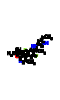 CCC1CC(NC(C)c2cc(F)c(-c3cc(OC(C)(C)C)ncc3C)cc2F)=CN1